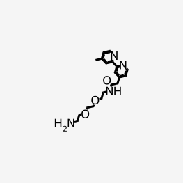 Cc1ccnc(-c2cc(CC(=O)NCCOCCOCCN)ccn2)c1